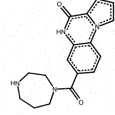 O=C(c1ccc2c(c1)[nH]c(=O)c1cccn12)N1CCCNCC1